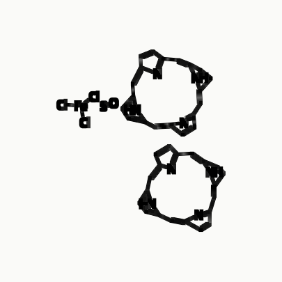 C1=Cc2cc3ccc(cc4nc(cc5ccc(cc1n2)[nH]5)C=C4)[nH]3.C1=Cc2cc3ccc(cc4nc(cc5ccc(cc1n2)[nH]5)C=C4)[nH]3.O=S.[Cl][Fe]([Cl])[Cl]